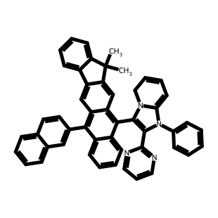 CC1(C)c2ccccc2-c2cc3c(-c4ccc5ccccc5c4)c4ccccc4c(C4=C(c5ncccn5)N(c5ccccc5)C5=CC=CCN54)c3cc21